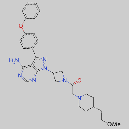 COCCC1CCN(CC(=O)N2CC(n3nc(-c4ccc(Oc5ccccc5)cc4)c4c(N)ncnc43)C2)CC1